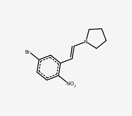 O=[N+]([O-])c1ccc(Br)cc1/C=C/N1CCCC1